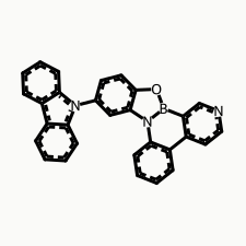 c1ccc2c(c1)-c1ccncc1B1Oc3ccc(-n4c5ccccc5c5ccccc54)cc3N12